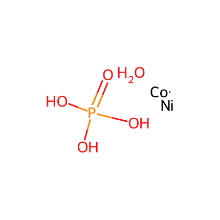 O.O=P(O)(O)O.[Co].[Ni]